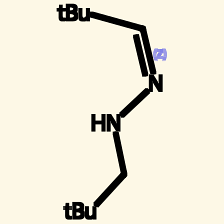 CC(C)(C)/C=N\NCC(C)(C)C